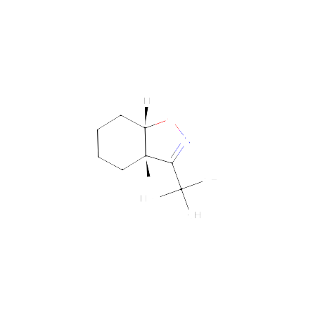 CC(C)(C)C1=NO[C@H]2CCCC[C@@H]12